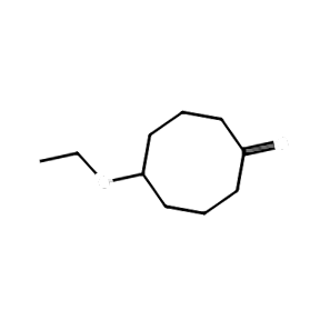 CCOC1CCCC(=O)CCC1